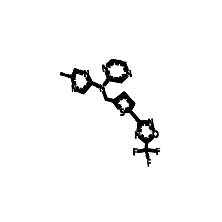 Cc1cnc(N(Cc2ccc(-c3noc(C(F)(F)F)n3)s2)c2cnccn2)cn1